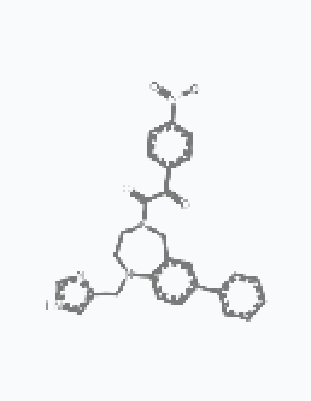 O=C(C(=O)N1CCN(Cc2c[nH]cn2)c2ccc(-c3ccccc3)cc2C1)c1ccc([N+](=O)[O-])cc1